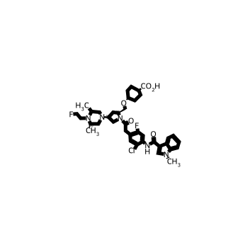 CC1CN([C@H]2C[C@@H](CO[C@H]3CC[C@H](C(=O)O)CC3)N(C(=O)Cc3cc(Cl)c(NC(=O)c4cn(C)c5ccccc45)cc3F)C2)C[C@H](C)N1CCF